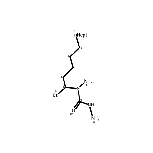 CCCCCCCCCCCC(CC)N(N)C(=O)NN